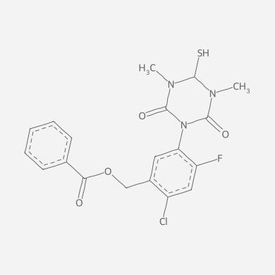 CN1C(=O)N(c2cc(COC(=O)c3ccccc3)c(Cl)cc2F)C(=O)N(C)C1S